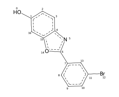 Oc1ccc2nc(-c3cccc(Br)c3)oc2c1